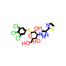 OCC1OC(Sc2cc(Cl)c(Cl)c(Cl)c2)C(O)C(n2cc(-c3nccs3)nn2)C1O